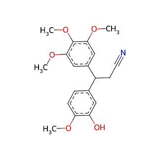 COc1ccc(C(CC#N)c2cc(OC)c(OC)c(OC)c2)cc1O